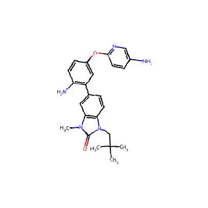 Cn1c(=O)n(CC(C)(C)C)c2ccc(-c3cc(Oc4ccc(N)cn4)ccc3N)cc21